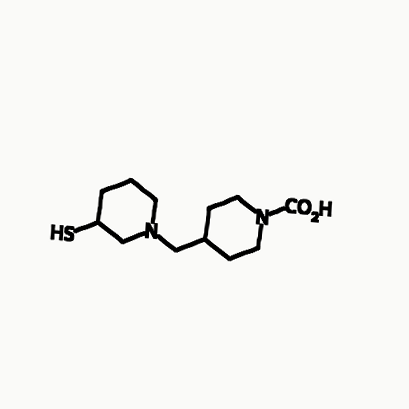 O=C(O)N1CCC(CN2CCCC(S)C2)CC1